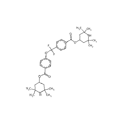 CC1(C)CC(OC(=O)c2ccc(OC(F)(F)c3ccc(C(=O)OC4CC(C)(C)NC(C)(C)C4)cc3)cc2)CC(C)(C)N1